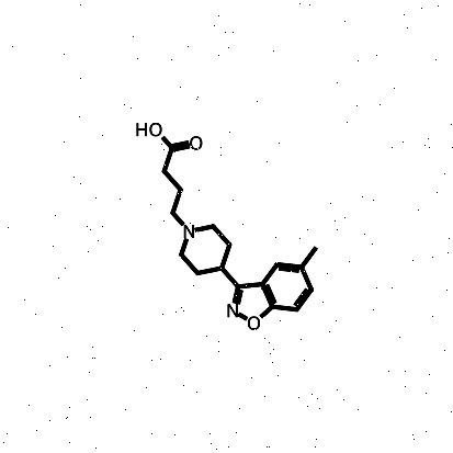 Cc1ccc2onc(C3CCN(CCCC(=O)O)CC3)c2c1